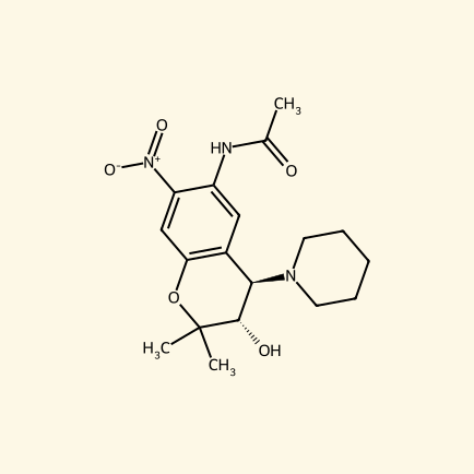 CC(=O)Nc1cc2c(cc1[N+](=O)[O-])OC(C)(C)[C@@H](O)[C@@H]2N1CCCCC1